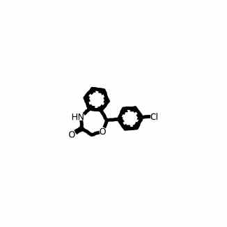 O=C1COC(c2ccc(Cl)cc2)c2ccccc2N1